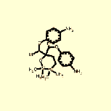 CCC(Oc1ccc(N)cc1)C1(C(CC)Oc2ccc(N)cc2)CC[Si](C)(C)[Si](C)(C)O1